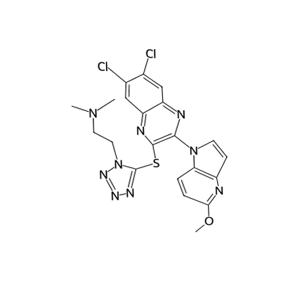 COc1ccc2c(ccn2-c2nc3cc(Cl)c(Cl)cc3nc2Sc2nnnn2CCN(C)C)n1